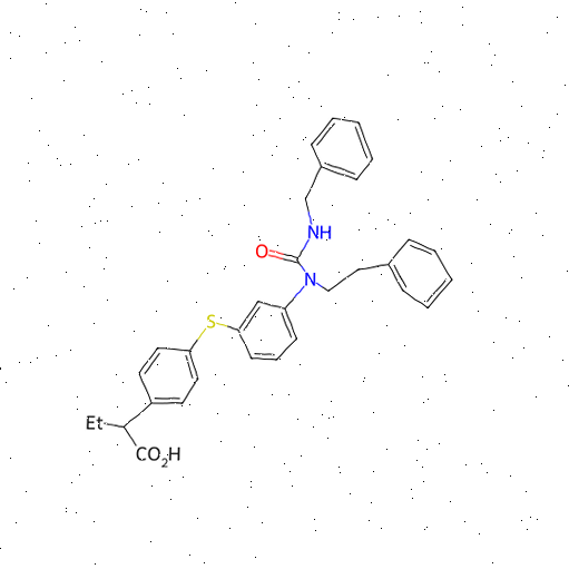 CCC(C(=O)O)c1ccc(Sc2cccc(N(CCc3ccccc3)C(=O)NCc3ccccc3)c2)cc1